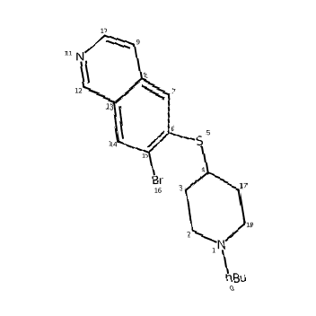 CCCCN1CCC(Sc2cc3ccncc3cc2Br)CC1